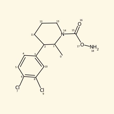 CC1C(c2ccc(Cl)c(Cl)c2)CCCN1C(=O)ON